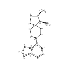 C[C@@H]1OCC2(CCN(c3nccc4nsnc34)CC2)[C@@H]1N